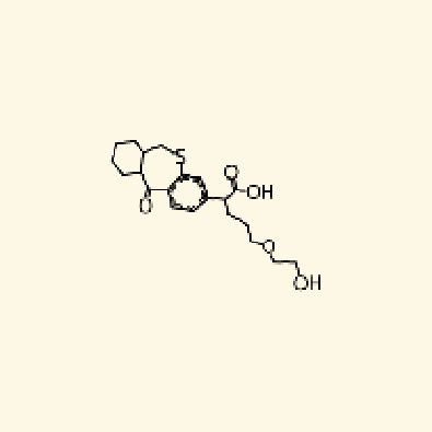 O=C(O)C(CCCOCCO)c1ccc2c(c1)SCC1CCCCC1C2=O